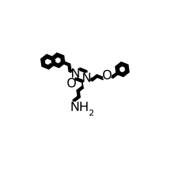 NCCCC[C@H]1C(=O)N(CCc2ccc3ccccc3c2)CCN1CCCOCc1ccccc1